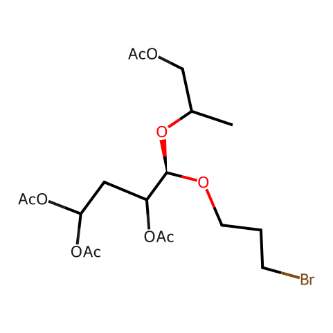 CC(=O)OCC(C)O[C@@H](OCCCBr)C(CC(OC(C)=O)OC(C)=O)OC(C)=O